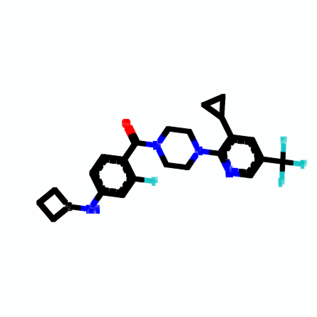 O=C(c1ccc(NB2CCC2)cc1F)N1CCN(c2ncc(C(F)(F)F)cc2C2CC2)CC1